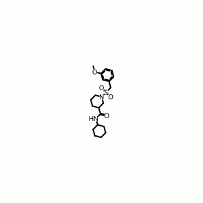 COc1cccc(CS(=O)(=O)N2CCCC(C(=O)NC3CCCCC3)C2)c1